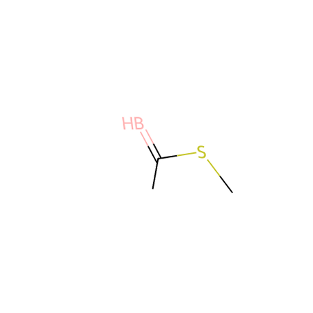 B=C(C)SC